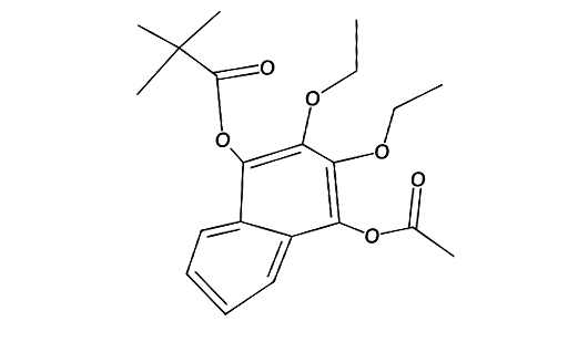 CCOc1c(OCC)c(OC(=O)C(C)(C)C)c2ccccc2c1OC(C)=O